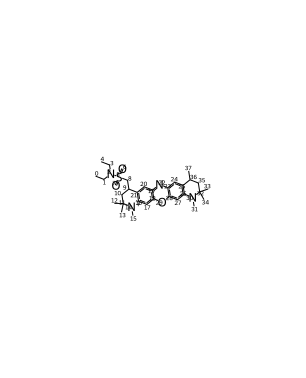 CCN(CC)S(=O)(=O)CC1CC(C)(C)[N+](C)=c2cc3c(cc21)=Nc1cc2c(cc1O3)N(C)C(C)(C)CC2C